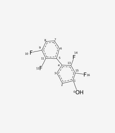 Oc1ccc(-c2cccc(F)c2F)c(F)c1F